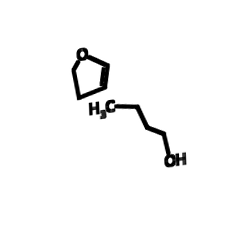 C1=COCC1.CCCCO